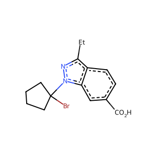 CCc1nn(C2(Br)CCCC2)c2cc(C(=O)O)ccc12